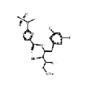 COCC(O)C(O)C(Cc1cc(F)cc(F)c1)NC(=O)c1csc(N(C)S(C)(=O)=O)n1